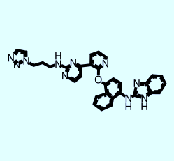 c1cnc(Oc2ccc(Nc3nc4ccccc4[nH]3)c3ccccc23)c(-c2ccnc(NCCCn3ccnn3)n2)c1